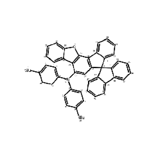 CC(C)(C)C1=CC=C(N(c2ccc(C(C)(C)C)cc2)c2cc3c(c4oc5ccccc5c24)-c2ccccc2C32c3ccccc3-c3ccccc32)CC1